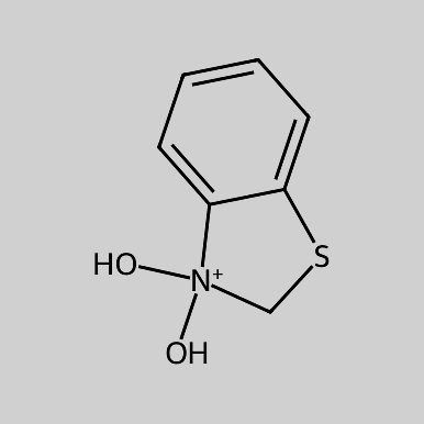 O[N+]1(O)CSc2ccccc21